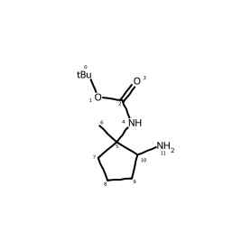 CC(C)(C)OC(=O)NC1(C)CCCC1N